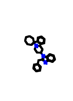 c1ccc(Cc2nc3ccccc3n2C2CCN(C3(c4ccccc4)CCCCCC3)CC2)cc1